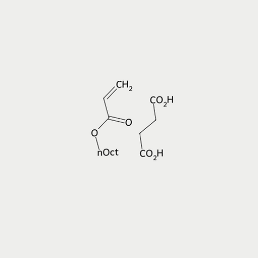 C=CC(=O)OCCCCCCCC.O=C(O)CCC(=O)O